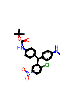 CNc1ccc(C(c2ccc(NC(=O)OC(C)(C)C)cc2)c2cc([N+](=O)[O-])ccc2Cl)cc1